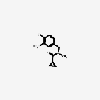 CN(Cc1ccc(Cl)c(C(=O)O)c1)C(=O)C1CC1